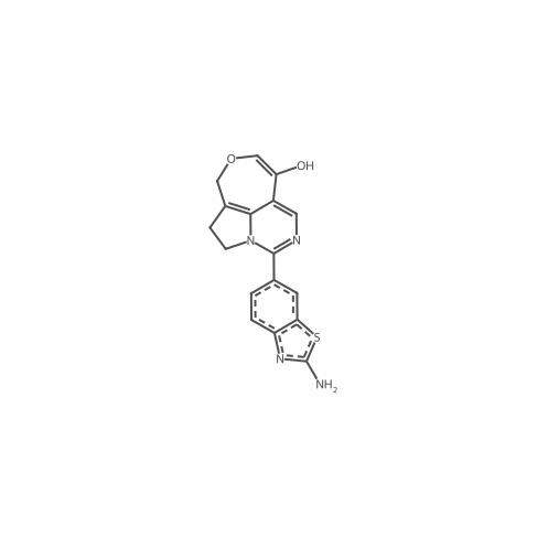 Nc1nc2ccc(C3=NC=C4C(O)=COCC5=C4N3CC5)cc2s1